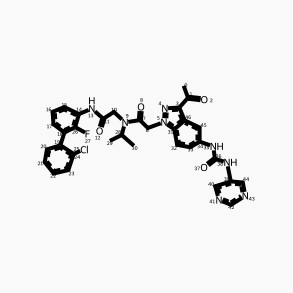 CC(=O)c1nn(CC(=O)N(CC(=O)Nc2cccc(-c3ccccc3Cl)c2F)C(C)C)c2ccc(NC(=O)Nc3cncnc3)cc12